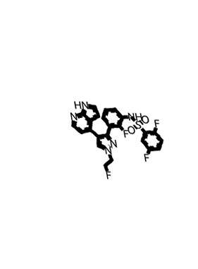 O=S(=O)(Nc1cccc(-c2nn(CCF)cc2-c2ccnc3[nH]ccc23)c1F)c1cc(F)ccc1F